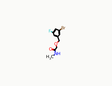 CNC(=O)COCc1cc(F)cc(Br)c1